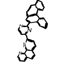 c1ccc2c(c1)ccc1cc(-c3nccc(-c4ccc5ccc6cccnc6c5n4)n3)c3ccccc3c12